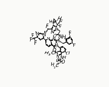 Cn1nc(NS(C)(=O)=O)c2c(Cl)ccc(-n3c([C@H](Cc4cc(F)cc(F)c4)NC(=O)Cn4nc(C(F)F)c5c4C(F)(F)[C@@H]4C[C@H]54)nc4nc(-c5cc(C(F)(F)F)ncn5)ccc4c3=O)c21